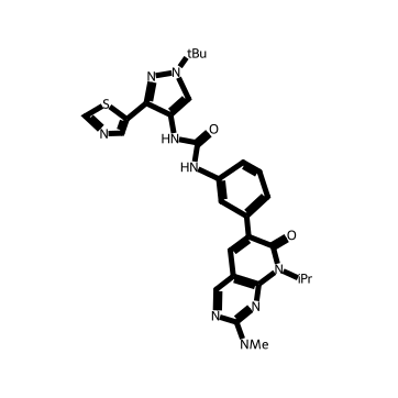 CNc1ncc2cc(-c3cccc(NC(=O)Nc4cn(C(C)(C)C)nc4-c4cncs4)c3)c(=O)n(C(C)C)c2n1